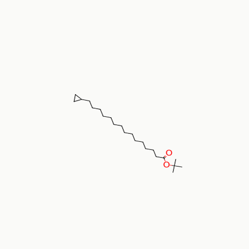 CC(C)(C)OC(=O)CCCCCCCCCCCCCCC1CC1